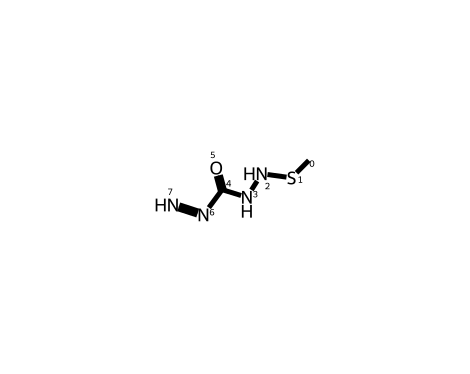 CSNNC(=O)N=N